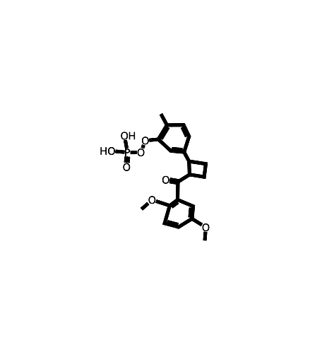 COc1ccc(OC)c(C(=O)C2CCC2c2ccc(C)c(OOP(=O)(O)O)c2)c1